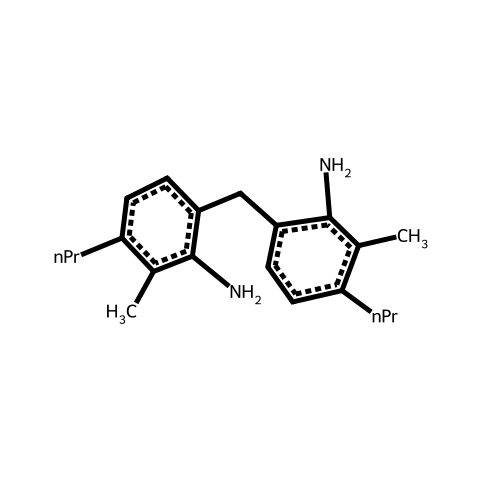 CCCc1ccc(Cc2ccc(CCC)c(C)c2N)c(N)c1C